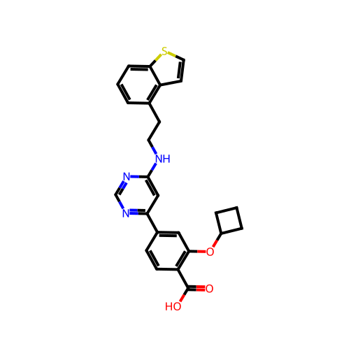 O=C(O)c1ccc(-c2cc(NCCc3cccc4sccc34)ncn2)cc1OC1CCC1